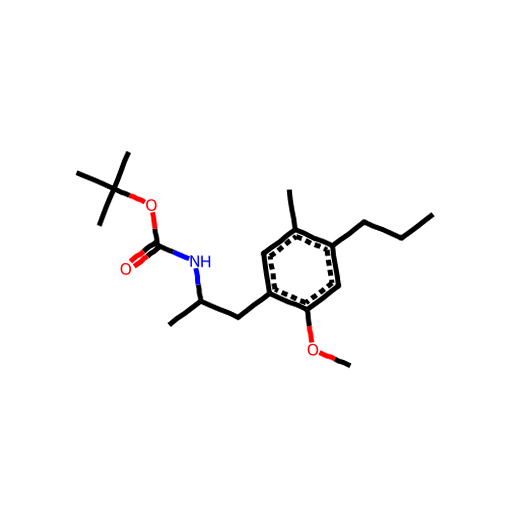 CCCc1cc(OC)c(CC(C)NC(=O)OC(C)(C)C)cc1C